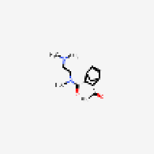 CN(C)CCN(C)C(=O)[C@@H]1C2C=CC(C2)[C@@H]1C(=O)C(C)(C)C